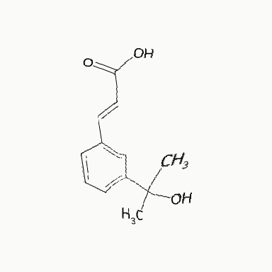 CC(C)(O)c1cccc(C=CC(=O)O)c1